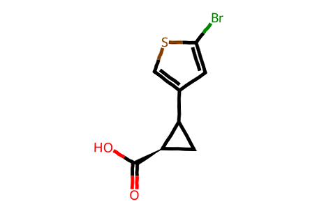 O=C(O)[C@@H]1CC1c1csc(Br)c1